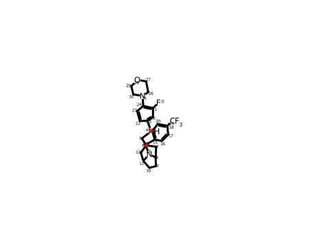 Fc1cc(NCC2CC3CCC(C2)N3Cc2ccc(C(F)(F)F)cc2)ccc1N1CCOCC1